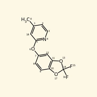 Cc1ccnc(Oc2ccc3c(c2)OC(F)(F)O3)c1